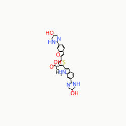 CC(=O)O.OC1CN=C(c2ccc3cc(-c4ccc(-c5cc6ccc(C7=NCC(O)CN7)cc6o5)s4)[nH]c3c2)NC1